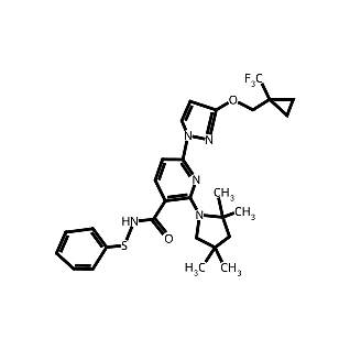 CC1(C)CN(c2nc(-n3ccc(OCC4(C(F)(F)F)CC4)n3)ccc2C(=O)NSc2ccccc2)C(C)(C)C1